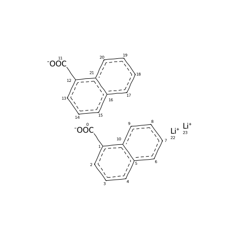 O=C([O-])c1cccc2ccccc12.O=C([O-])c1cccc2ccccc12.[Li+].[Li+]